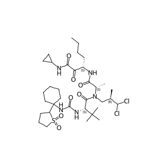 CCCC[C@H](NC(=O)[C@H](C)N(C[C@@H](C)C(Cl)Cl)C(=O)[C@@H](NC(=O)NC1(C2CCCS2(=O)=O)CCCCC1)C(C)(C)C)C(=O)C(=O)NC1CC1